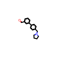 O=Cc1cccc(-c2ccc(CN3CCCC3)cc2)c1